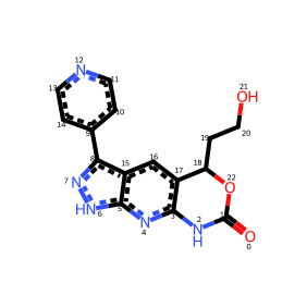 O=C1Nc2nc3[nH]nc(-c4ccncc4)c3cc2C(CCO)O1